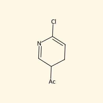 CC(=O)C1C=NC(Cl)=CC1